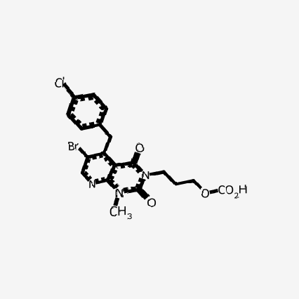 Cn1c(=O)n(CCCOC(=O)O)c(=O)c2c(Cc3ccc(Cl)cc3)c(Br)cnc21